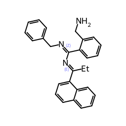 CC/C(=N\C(=N/Cc1ccccc1)c1ccccc1CN)c1cccc2ccccc12